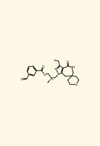 CCc1nn(C[C@@H](C)COC(=O)c2cccc(C=O)c2)c2c1C(=O)NCC1(CCOCC1)C2